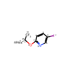 CCCCCC[C@@H](Oc1ccc(I)cn1)C(F)(F)F